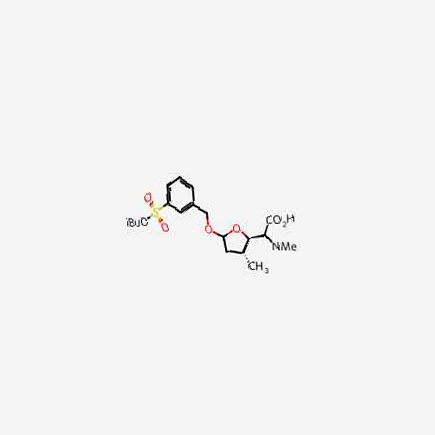 CNC(C(=O)O)[C@@H]1OC(OCc2cccc(S(=O)(=O)OCC(C)C)c2)C[C@H]1C